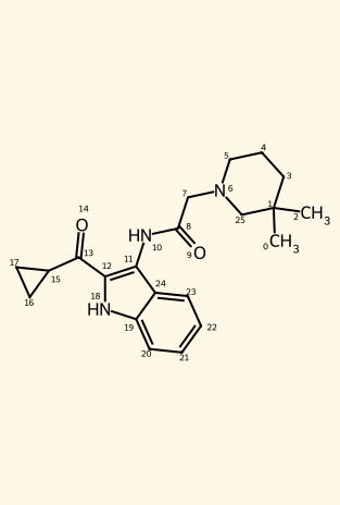 CC1(C)CCCN(CC(=O)Nc2c(C(=O)C3CC3)[nH]c3ccccc23)C1